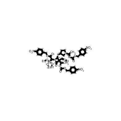 CCOP(OCC)(OCC)=C(C(=O)OCc1ccc([N+](=O)[O-])cc1)N1C(=O)C(C=C=O)(C(C)OC(=O)OCc2ccc([N+](=O)[O-])cc2)C1SC1CCN(C(C)=NC(=O)OCc2ccc([N+](=O)[O-])cc2)C1